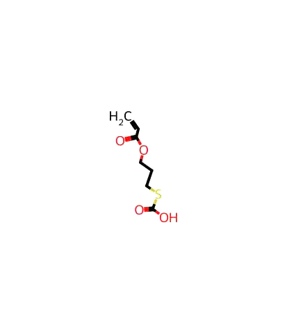 C=CC(=O)OCCCSC(=O)O